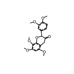 COc1ccc(C2Oc3c(c(OC)cc(OC)c3OC)CC2=O)cc1OC